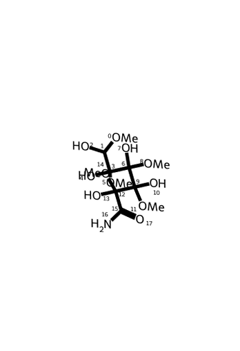 COC(O)C(O)(OC)C(O)(OC)C(O)(OC)C(O)(OC)C(N)=O